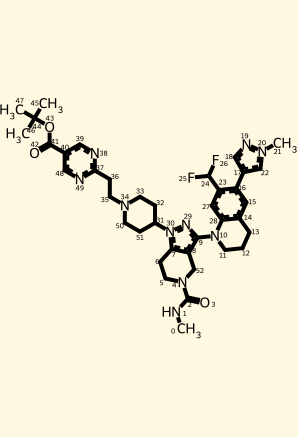 CNC(=O)N1CCc2c(c(N3CCCc4cc(-c5cnn(C)c5)c(C(F)F)cc43)nn2C2CCN(CCc3ncc(C(=O)OC(C)(C)C)cn3)CC2)C1